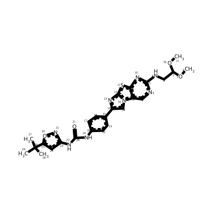 COC(CNc1ncc2c(n1)sc1nc(-c3ccc(NC(=O)Nc4cc(C(C)(C)C)on4)cc3)cn12)OC